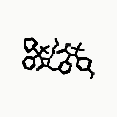 CON=C[C@@H]1[C@@H](Cc2ccnc(N(C(=O)O)C(c3ccc(OC)cc3)C(C)(C)C)c2)C(=O)N1[Si](c1ccccc1)(c1ccccc1)C(C)(C)C